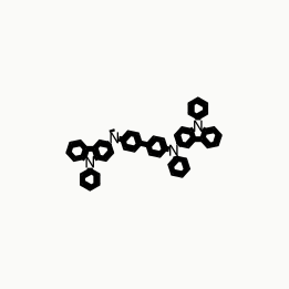 CN(c1ccc(-c2ccc(N(c3ccccc3)c3ccc4c(c3)c3ccccc3n4-c3ccccc3)cc2)cc1)c1ccc2c(c1)c1c(n2-c2ccccc2)CCC=C1